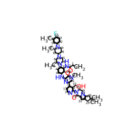 C=CC(=O)Nc1cc(Nc2nc(-c3ccnc(N4CCn5c(cc6c5CC(C)(C)C6)C4=O)c3CO)cn(C)c2=O)ccc1N1CCN(C2CCN(c3ccc(F)c(C)c3)[C@H](C)C2)C[C@@H]1C